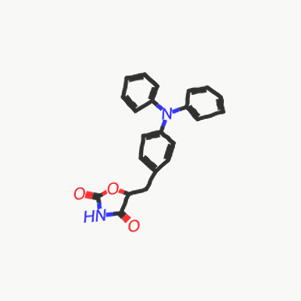 O=C1NC(=O)C(Cc2ccc(N(c3ccccc3)c3ccccc3)cc2)O1